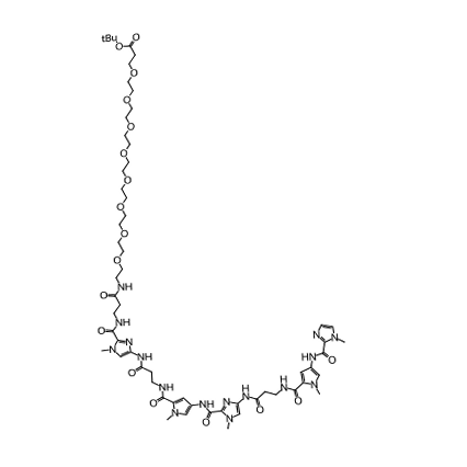 Cn1cc(NC(=O)c2nc(NC(=O)CCNC(=O)c3cc(NC(=O)c4nccn4C)cn3C)cn2C)cc1C(=O)NCCC(=O)Nc1cn(C)c(C(=O)NCCC(=O)NCCOCCOCCOCCOCCOCCOCCOCCOCCC(=O)OC(C)(C)C)n1